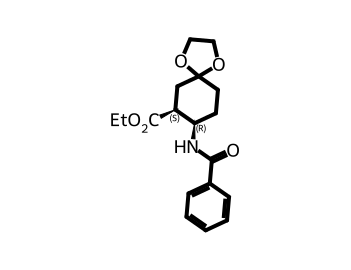 CCOC(=O)[C@H]1CC2(CC[C@H]1NC(=O)c1ccccc1)OCCO2